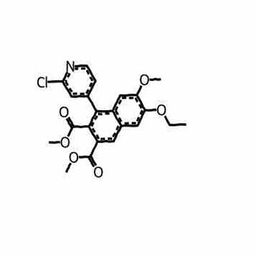 CCOc1cc2cc(C(=O)OC)c(C(=O)OC)c(-c3ccnc(Cl)c3)c2cc1OC